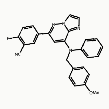 COc1ccc(CN(c2ccccc2)c2cc(-c3ccc(F)c(C#N)c3)nn3ccnc23)cc1